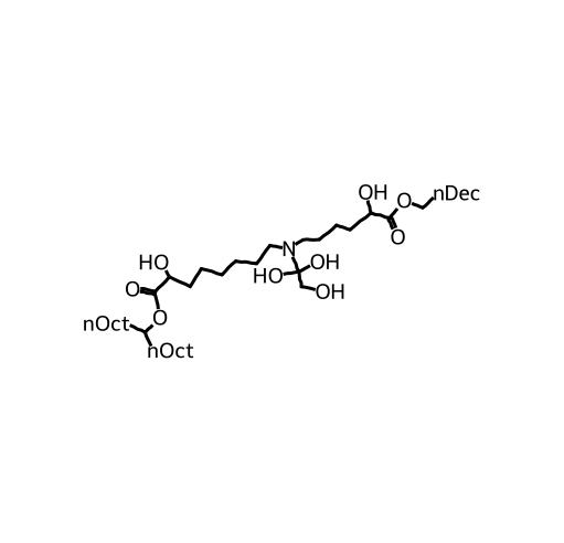 CCCCCCCCCCCOC(=O)C(O)CCCCN(CCCCCCC(O)C(=O)OC(CCCCCCCC)CCCCCCCC)C(O)(O)CO